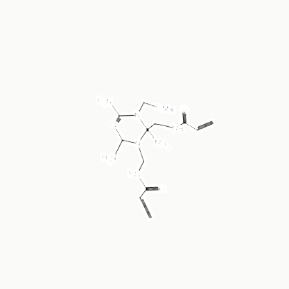 C=CC(=O)NCN1C(N)N=C(N)N(COC)C1(N)CNC(=O)C=C